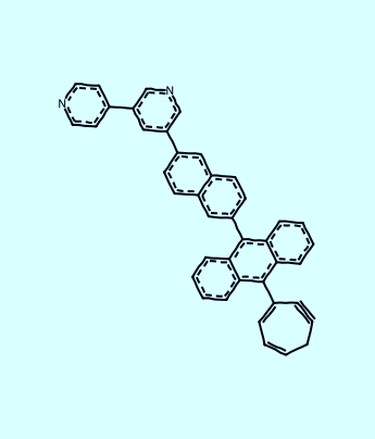 C1#CC(c2c3ccccc3c(-c3ccc4cc(-c5cncc(-c6ccncc6)c5)ccc4c3)c3ccccc23)=CC=CC1